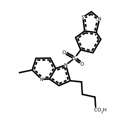 Cc1ccc2c(cc(CCCC(=O)O)n2S(=O)(=O)c2ccc3ncsc3c2)n1